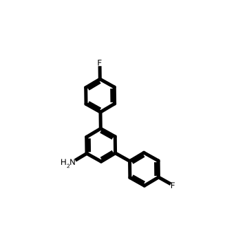 Nc1cc(-c2ccc(F)cc2)cc(-c2ccc(F)cc2)c1